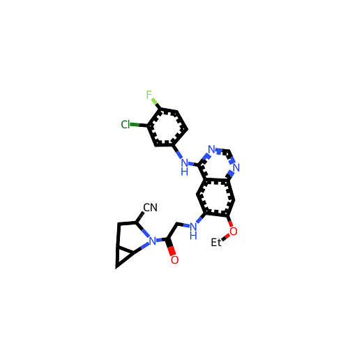 CCOc1cc2ncnc(Nc3ccc(F)c(Cl)c3)c2cc1NCC(=O)N1C(C#N)CC2CC21